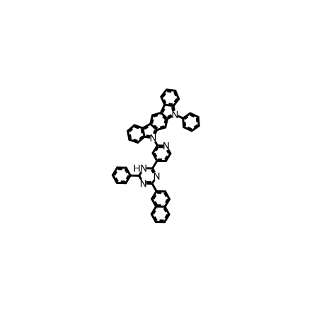 c1ccc(C2N=C(c3ccc4ccccc4c3)N=C(c3ccnc(-n4c5ccccc5c5cc6c7ccccc7n(-c7ccccc7)c6cc54)c3)N2)cc1